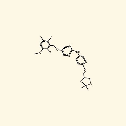 COc1cc(C)c(F)c(COc2cnc(Nc3ccc(OCC4COC(C)(C)O4)nc3)nc2)c1F